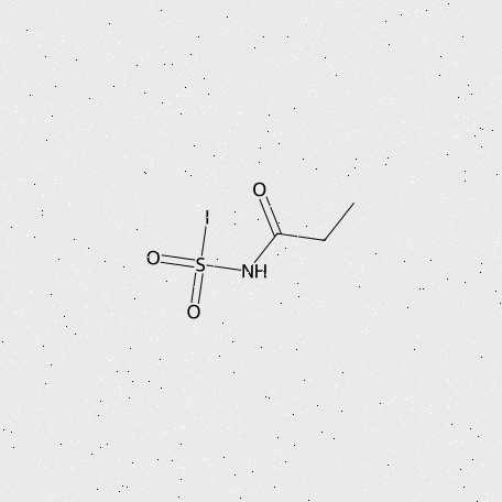 CCC(=O)NS(=O)(=O)I